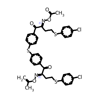 C=C(C)O/N=C(\CCSc1ccc(Cl)cc1)C(=O)c1ccc(Sc2ccc(C(=O)/C(CCSc3ccc(Cl)cc3)=N/OC(C)=O)cc2)cc1